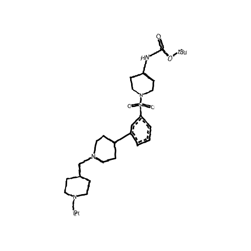 CC(C)N1CCC(CN2CCC(c3cccc(S(=O)(=O)N4CCC(NC(=O)OC(C)(C)C)CC4)c3)CC2)CC1